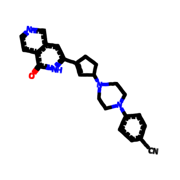 N#Cc1ccc(N2CCN(C3C=C(c4cc5cnccc5c(=O)[nH]4)CC3)CC2)cc1